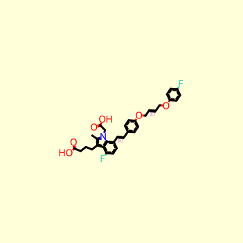 Cc1c(CCCC(=O)O)c2c(F)ccc(/C=C/c3ccc(OC/C=C/COc4ccc(F)cc4)cc3)c2n1CC(=O)O